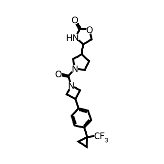 O=C1NC(C2CCN(C(=O)N3CC(c4ccc(C5(C(F)(F)F)CC5)cc4)C3)C2)CO1